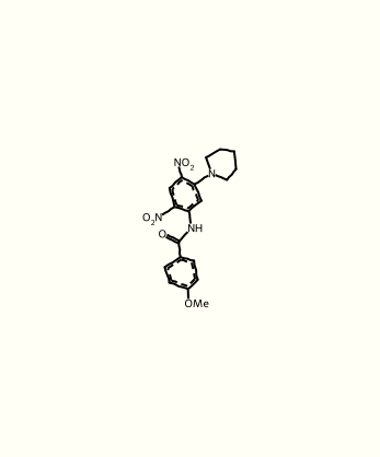 COc1ccc(C(=O)Nc2cc(N3CCCCC3)c([N+](=O)[O-])cc2[N+](=O)[O-])cc1